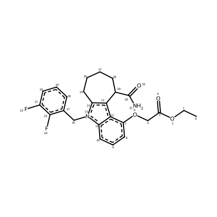 CCOC(=O)COc1cccc2c1c1c(n2Cc2cccc(F)c2F)CCCCC1C(N)=O